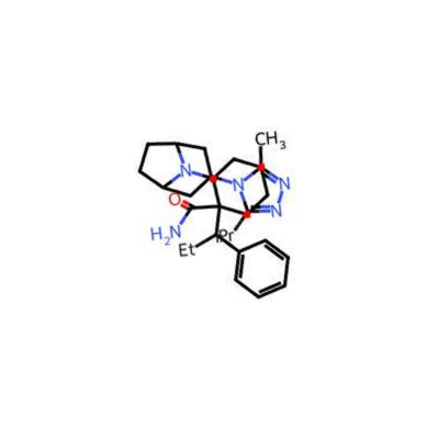 CCC(c1ccccc1)C1(C(N)=O)CCCCC1N1C2CCC1CC(n1c(C)nnc1C(C)C)C2